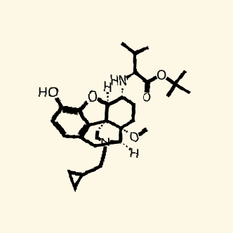 CO[C@@]12CC[C@@H](N[C@H](C(=O)OC(C)(C)C)C(C)C)[C@@H]3Oc4c(O)ccc5c4[C@@]31CCN(CC1CC1)[C@@H]2C5